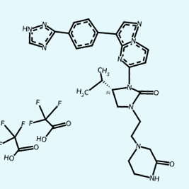 CC(C)[C@H]1CN(CCN2CCNC(=O)C2)C(=O)N1c1ccn2ncc(-c3ccc(-c4nc[nH]n4)cc3)c2n1.O=C(O)C(F)(F)F.O=C(O)C(F)(F)F